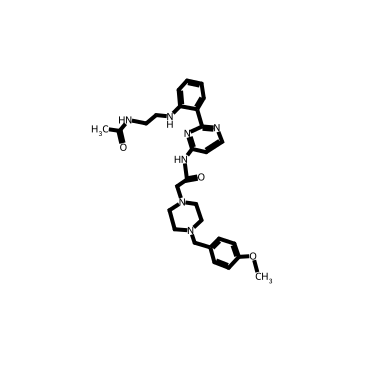 COc1ccc(CN2CCN(CC(=O)Nc3ccnc(-c4ccccc4NCCNC(C)=O)n3)CC2)cc1